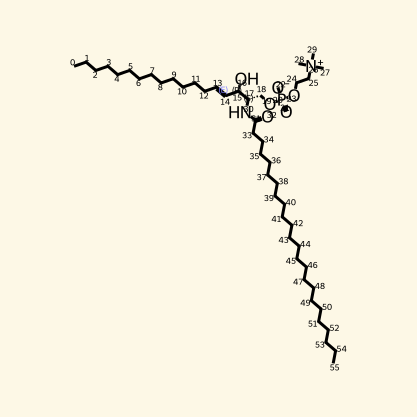 CCCCCCCCCCCCC/C=C/[C@@H](O)[C@H](COP(=O)([O-])OCC[N+](C)(C)C)NC(=O)CCCCCCCCCCCCCCCCCCCCCCC